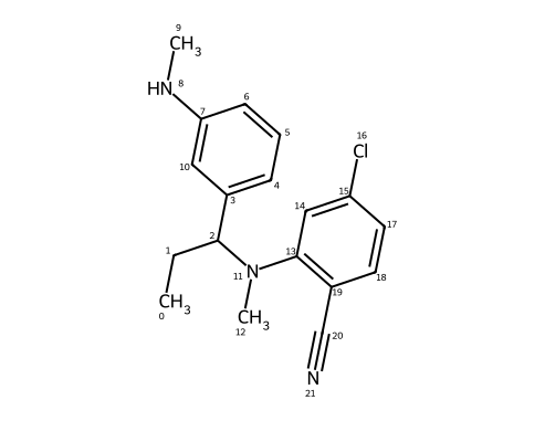 CCC(c1cccc(NC)c1)N(C)c1cc(Cl)ccc1C#N